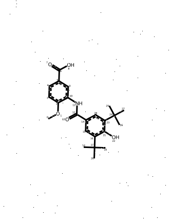 COc1ccc(C(=O)O)cc1NC(=O)c1cc(C(C)(C)C)c(O)c(C(C)(C)C)c1